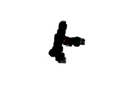 CCC(C)(C)C(=O)OCn1cc2cc(C[C@@H](NC(=O)N3CCC(c4cc5ccccc5n(COC(=O)C(C)(C)CC)c4=O)CC3)C(=O)N3CCN(C4CCN(C)CC4)CC3)cc(C)c2n1